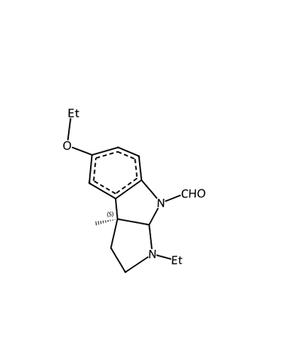 CCOc1ccc2c(c1)[C@]1(C)CCN(CC)C1N2C=O